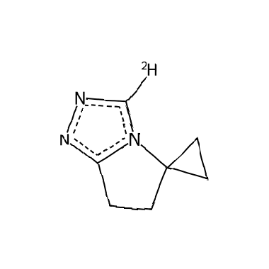 [2H]c1nnc2n1C1(CC2)CC1